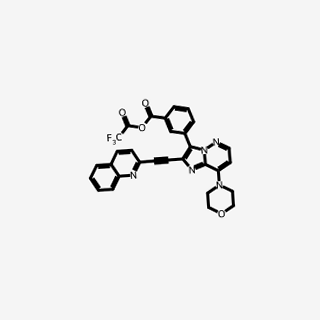 O=C(OC(=O)C(F)(F)F)c1cccc(-c2c(C#Cc3ccc4ccccc4n3)nc3c(N4CCOCC4)ccnn23)c1